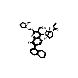 C=CC(=O)N1CC[C@@H]2[C@H]1CN2c1c(CC#N)c(OC[C@@H]2CCCN2C)nc2c(F)c(-c3cccc4c3CCCC4)ccc12